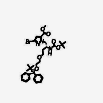 COC(=O)c1cc(Br)nn1C[C@@H](CCOCCO[Si](c1ccccc1)(c1ccccc1)C(C)(C)C)NC(=O)OC(C)(C)C